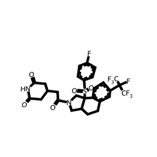 O=C1CC(CC(=O)N2CC3CCc4cc(C(F)(C(F)(F)F)C(F)(F)F)ccc4C3(S(=O)(=O)c3ccc(F)cc3)C2)CC(=O)N1